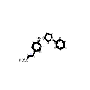 O=C(O)/C=C/c1ccc(N[C@@H]2CCN(c3ccccc3)C2)nc1